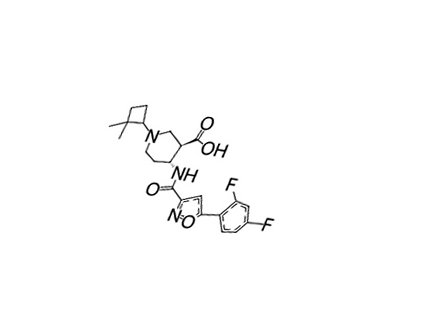 CC1(C)CCC1N1CC[C@@H](NC(=O)c2cc(-c3ccc(F)cc3F)on2)[C@H](C(=O)O)C1